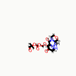 CC(C)(C=O)OC(=O)OCOc1c2n(ccc1=O)N[C@@H]1COCCN1C2=O